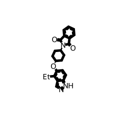 CCc1c(O[C@H]2CC[C@H](N3C(=O)c4ccccc4C3=O)CC2)ccc2[nH]ncc12